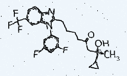 C[C@](O)(CC(=O)CCCCc1nc2ccc(C(F)(F)F)cc2n1-c1cc(F)cc(F)c1)C1CC1